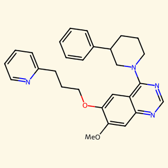 COc1cc2ncnc(N3CCCC(c4ccccc4)C3)c2cc1OCCCc1ccccn1